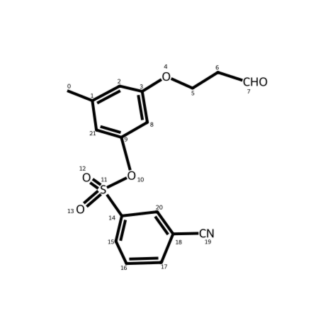 Cc1cc(OCCC=O)cc(OS(=O)(=O)c2cccc(C#N)c2)c1